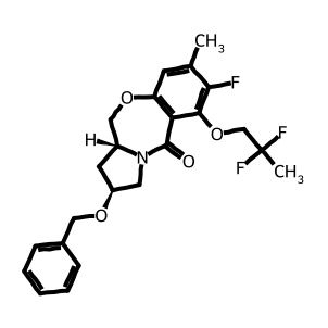 Cc1cc2c(c(OCC(C)(F)F)c1F)C(=O)N1C[C@@H](OCc3ccccc3)C[C@@H]1CO2